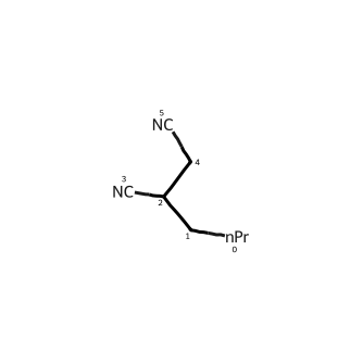 CCCCC(C#N)CC#N